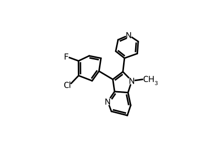 Cn1c(-c2ccncc2)c(-c2ccc(F)c(Cl)c2)c2ncccc21